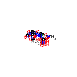 CN(CCOCCc1ccc(NC(=O)NCc2ccc3c(c2)CN(C2CCC(=O)NC2=O)C3=O)cc1Cl)C(=O)OCc1cc(NC(=O)CCNC(=O)CCCCCN2C(=O)C=CC2=O)c(O)c(C2(C(=O)O)OC(O)C(O)N2O)c1